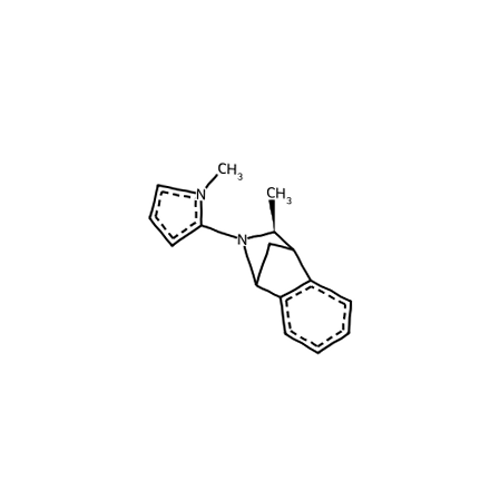 C[C@H]1C2CC(c3ccccc32)N1c1cccn1C